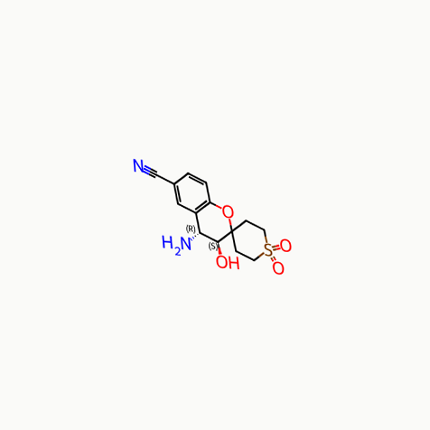 N#Cc1ccc2c(c1)[C@@H](N)[C@H](O)C1(CCS(=O)(=O)CC1)O2